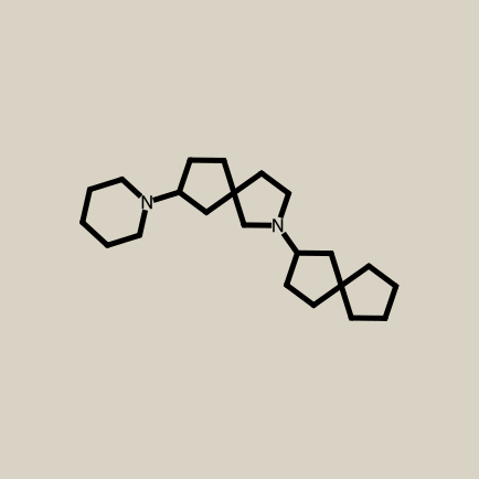 C1CCN(C2CCC3(CCN(C4CCC5(CCCC5)C4)C3)C2)CC1